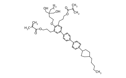 C=C(C)C(=O)OCCCc1cc(-c2ccc(-c3ccc(C4CCC(CCCCC)CC4)cc3)cc2)cc(CCCOC(=O)C(=C)C)c1OCCC(CC)(CO)CO